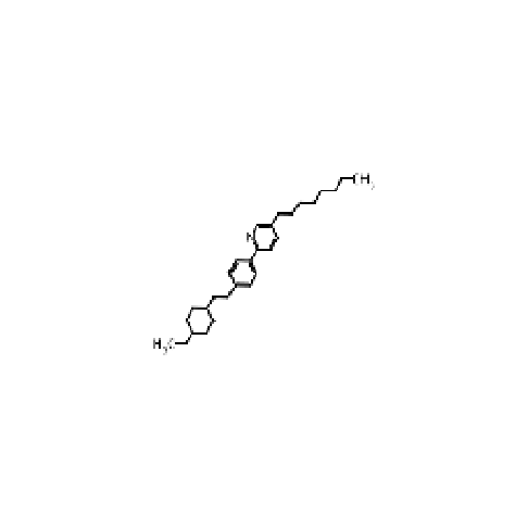 CCCCCCCCc1ccc(-c2ccc(CCC3CCC(CC)CC3)cc2)nc1